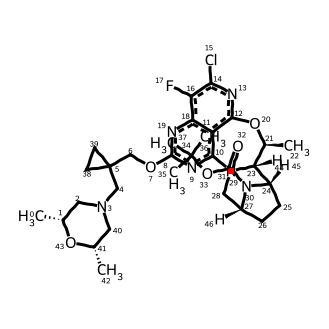 C[C@@H]1CN(CC2(COc3nc4c5c(nc(Cl)c(F)c5n3)O[C@@H](C)[C@@H]3[C@@H]5CC[C@H](CN43)N5C(=O)OC(C)(C)C)CC2)C[C@H](C)O1